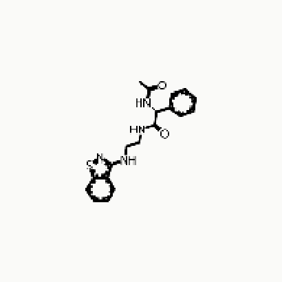 CC(=O)N[C@@H](C(=O)NCCNc1nsc2ccccc12)c1ccccc1